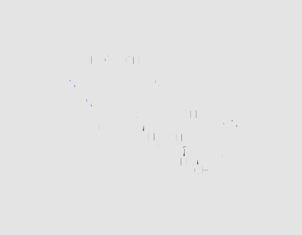 C[C@@H]1C(=O)C(C#N)=C[C@]2(C)C3=CC(=O)C4C5CC(C)(C)CC[C@]5(C(=O)n5ccnc5)CC[C@@]4(C)[C@]3(C)CC[C@@H]12